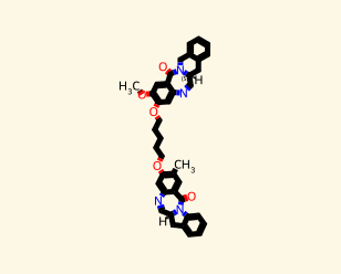 COc1cc2c(cc1OCCCCCOc1cc3c(cc1C)C(=O)N1c4ccccc4C[C@H]1C=N3)N=C[C@@H]1Cc3ccccc3CN1C2=O